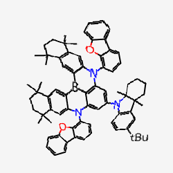 CC(C)(C)c1ccc2c(c1)C1(C)CCCCC1(C)N2c1cc2c3c(c1)N(c1cccc4c1oc1ccccc14)c1cc4c(cc1B3c1cc3c(cc1N2c1cccc2c1oc1ccccc12)C(C)(C)CCC3(C)C)C(C)(C)CCC4(C)C